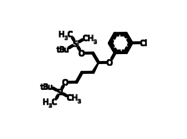 CC(C)(C)[Si](C)(C)OCCC[C@@H](CO[Si](C)(C)C(C)(C)C)Oc1cccc(Cl)c1